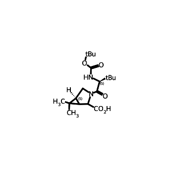 CC(C)(C)OC(=O)N[C@H](C(=O)N1C[C@H]2C(C1C(=O)O)C2(C)C)C(C)(C)C